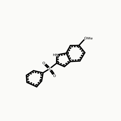 COc1ccc2cc(S(=O)(=O)c3ccccc3)[nH]c2c1